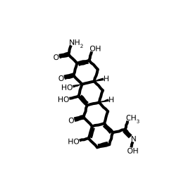 C/C(=N/O)c1ccc(O)c2c1C[C@H]1C[C@H]3CC(O)=C(C(N)=O)C(=O)[C@@]3(O)C(O)=C1C2=O